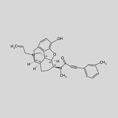 C=CCN1CC[C@]23c4c5ccc(O)c4O[C@H]2[C@@H](N(C)C(=O)C#Cc2cccc(C)c2)CC[C@H]3[C@H]1C5